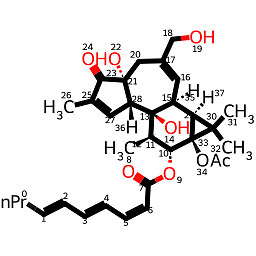 CCC/C=C/C=C/C=C\C(=O)O[C@@H]1[C@@H](C)[C@@]2(O)[C@@H](C=C(CO)C[C@]3(O)C(=O)C(C)=C[C@@H]23)[C@H]2C(C)(C)[C@]12OC(C)=O